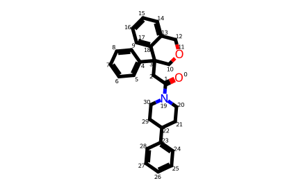 O=C(CC1(c2ccccc2)COCc2ccccc21)N1CCC(c2ccccc2)CC1